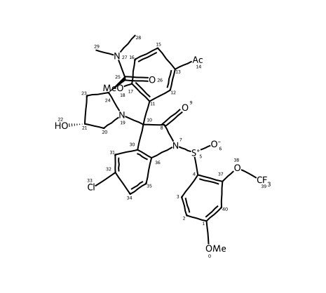 COc1ccc([S+]([O-])N2C(=O)C(c3cc(C(C)=O)ccc3OC)(N3C[C@H](O)C[C@H]3C(=O)N(C)C)c3cc(Cl)ccc32)c(OC(F)(F)F)c1